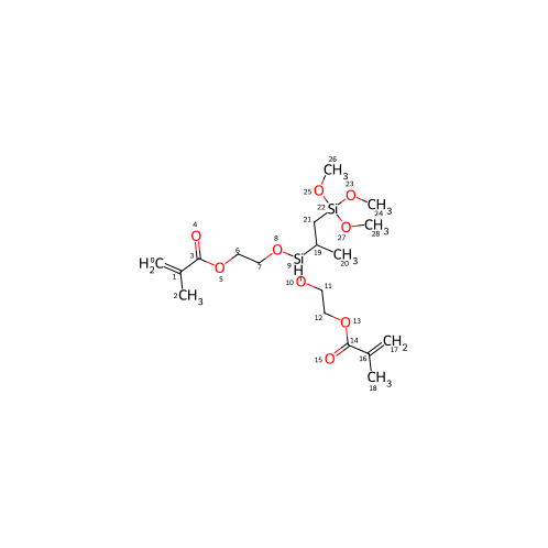 C=C(C)C(=O)OCCO[SiH](OCCOC(=O)C(=C)C)C(C)C[Si](OC)(OC)OC